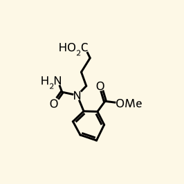 COC(=O)c1ccccc1N(CCCC(=O)O)C(N)=O